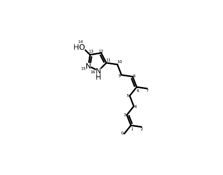 CC(C)=CCCC(C)=CCCc1cc(O)n[nH]1